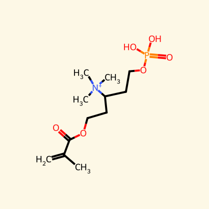 C=C(C)C(=O)OCCC(CCOP(=O)(O)O)[N+](C)(C)C